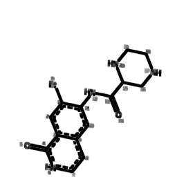 CCc1cc2c(=O)[nH]ccc2cc1NC(=O)C1CNCCN1